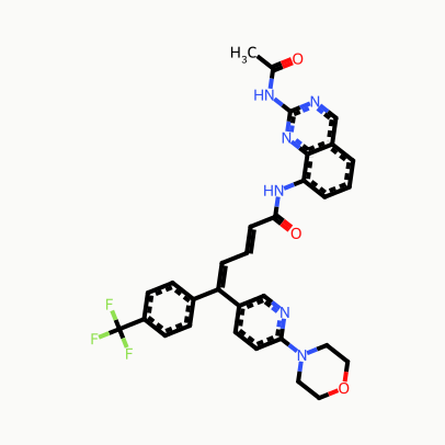 CC(=O)Nc1ncc2cccc(NC(=O)C=CC=C(c3ccc(C(F)(F)F)cc3)c3ccc(N4CCOCC4)nc3)c2n1